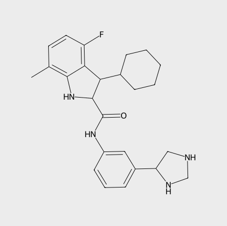 Cc1ccc(F)c2c1NC(C(=O)Nc1cccc(C3CNCN3)c1)C2C1CCCCC1